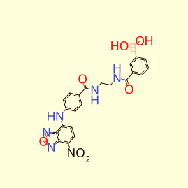 O=C(NCCNC(=O)c1cccc(B(O)O)c1)c1ccc(Nc2ccc([N+](=O)[O-])c3nonc23)cc1